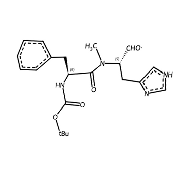 CN(C(=O)[C@H](Cc1ccccc1)NC(=O)OC(C)(C)C)[C@H]([C]=O)Cc1c[nH]cn1